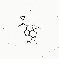 CC(C)(C)C1C(NC(=O)C2CC2)CCN1C(=O)O